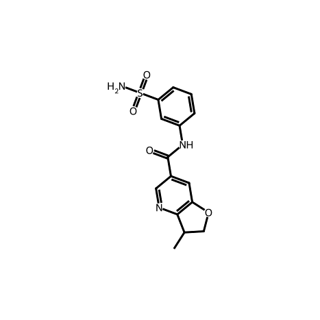 CC1COc2cc(C(=O)Nc3cccc(S(N)(=O)=O)c3)cnc21